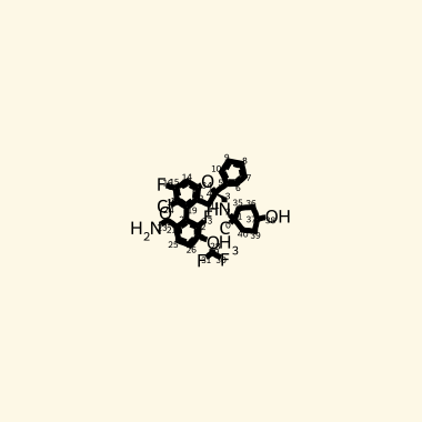 CC1(NC[C@@]2(c3ccccc3)Cc3c(cc(F)c(Cl)c3-c3c(C(N)=O)ccc(OC(F)F)c3F)O2)CCC(O)CC1